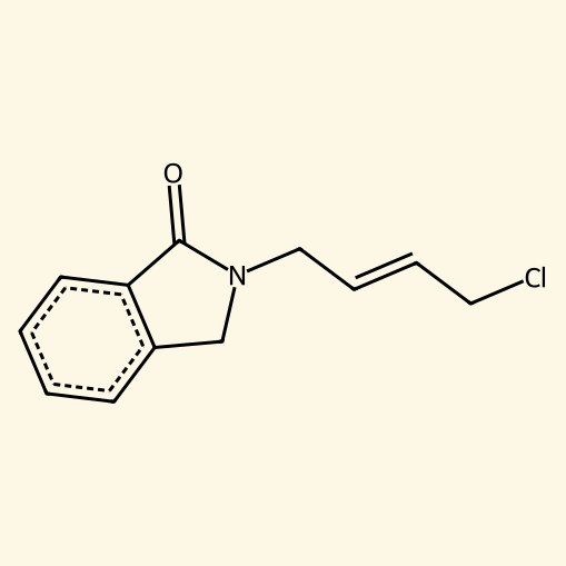 O=C1c2ccccc2CN1C/C=C/CCl